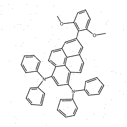 COc1cccc(OC)c1-c1cc2ccc3c(N(c4ccccc4)c4ccccc4)cc(N(c4ccccc4)c4ccccc4)c4ccc(c1)c2c34